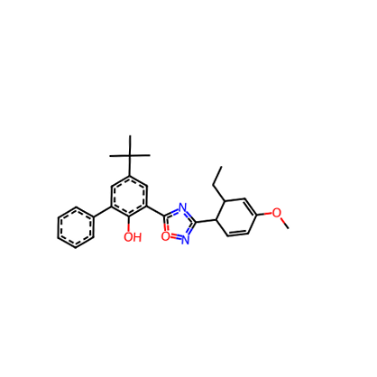 CCC1C=C(OC)C=CC1c1noc(-c2cc(C(C)(C)C)cc(-c3ccccc3)c2O)n1